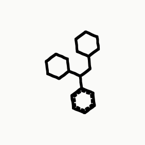 c1ccc(C(CC2CCCCC2)C2CCCCC2)cc1